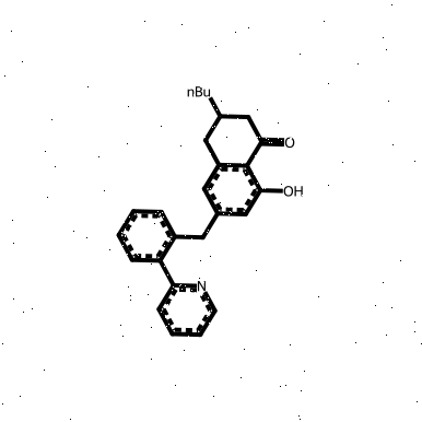 CCCCC1CC(=O)c2c(O)cc(Cc3ccccc3-c3ccccn3)cc2C1